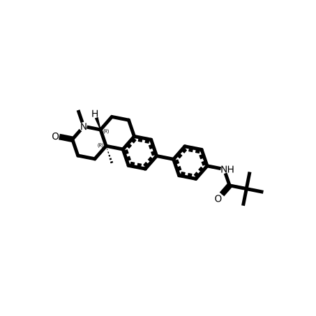 CN1C(=O)CC[C@]2(C)c3ccc(-c4ccc(NC(=O)C(C)(C)C)cc4)cc3CC[C@@H]12